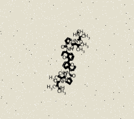 CN[C@@H](C)C(=O)N[C@H](C(=O)N1CCC[C@H]1C(=O)N[C@@H]1CCOc2c(-c3cccc4c3OCC[C@H]4NC(=O)[C@@H]3CCCN3C(=O)[C@@H](NC(=O)[C@H](C)NC)C(C)C)cccc21)C(C)C